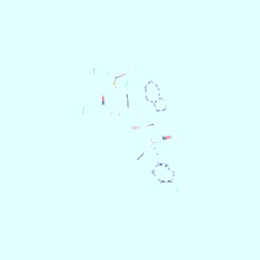 C=CN(C(=O)C(c1csc2ccc(Cl)cc12)P(=O)(O)OC(COC(=O)C(C)(C)C)OC(=O)C(C)(C)C)c1ccc(F)c(F)c1